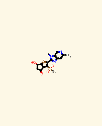 CCS(=O)(=O)c1c(-c2nc3cc(C(F)(F)F)ncc3n2C)sc2c1C(=O)CC2O